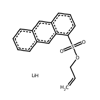 C=CCOS(=O)(=O)c1cccc2cc3ccccc3cc12.[LiH]